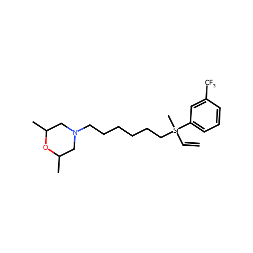 C=C[Si](C)(CCCCCCN1CC(C)OC(C)C1)c1cccc(C(F)(F)F)c1